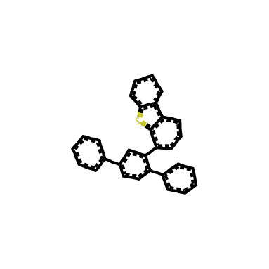 c1ccc(-c2ccc(-c3ccccc3)c(-c3cccc4c3sc3ccccc34)c2)cc1